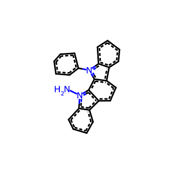 Nn1c2ccccc2c2ccc3c4ccccc4n(-c4ccccc4)c3c21